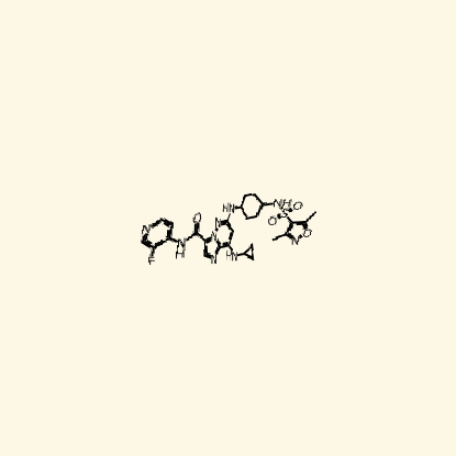 Cc1noc(C)c1S(=O)(=O)NC1CCC(Nc2cc(NC3CC3)c3ncc(C(=O)Nc4ccncc4F)n3n2)CC1